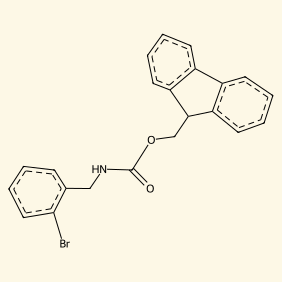 O=C(NCc1ccccc1Br)OCC1c2ccccc2-c2ccccc21